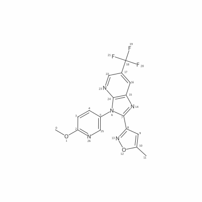 COc1ccc(-n2c(-c3cc(C)on3)nc3cc(C(F)(F)F)cnc32)cn1